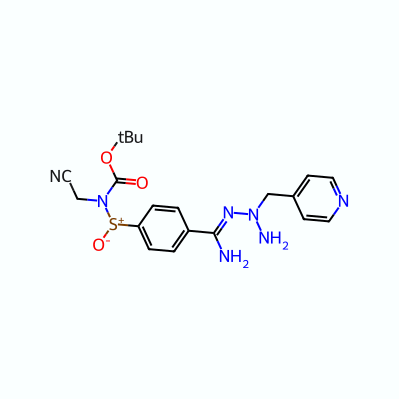 CC(C)(C)OC(=O)N(CC#N)[S+]([O-])c1ccc(/C(N)=N/N(N)Cc2ccncc2)cc1